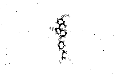 COc1cc(F)c(-c2c(C)nn3c(OC4CCN(C(=O)OC(C)C)CC4)ccnc23)cn1